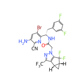 N#Cc1nc([C@H](Cc2cc(F)cc(F)c2)NC(=O)Cn2nc(C(F)(F)F)c3c2C(F)(F)[C@@H]2C[C@H]32)c(Br)cc1N